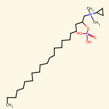 CCCCCCCCCCCCCCCCCCCCC(C[N+](C)(C)C1CC1)OP(=O)(O)O